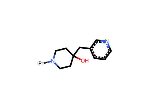 CC(C)N1CCC(O)(Cc2cccnc2)CC1